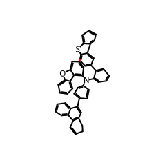 C1=Cc2c(cc(-c3ccc(N(c4ccccc4-c4ccc5sc6ccccc6c5c4)c4cccc5oc6ccccc6c45)cc3)c3ccccc23)CC1